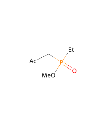 CCP(=O)(CC(C)=O)OC